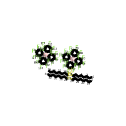 CCCCCCC=C[SH+]CCCCCCCC.CCCCCCC=C[SH+]CCCCCCCC.Fc1c(F)c(F)c([B-](c2c(F)c(F)c(F)c(F)c2F)(c2c(F)c(F)c(F)c(F)c2F)c2c(F)c(F)c(F)c(F)c2F)c(F)c1F.Fc1c(F)c(F)c([B-](c2c(F)c(F)c(F)c(F)c2F)(c2c(F)c(F)c(F)c(F)c2F)c2c(F)c(F)c(F)c(F)c2F)c(F)c1F